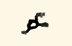 CCCc1ccc(C(=O)O)c(OC)c1